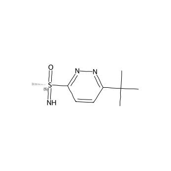 CC(C)(C)c1ccc([S@@](C)(=N)=O)nn1